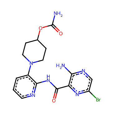 NC(=O)OC1CCN(c2cccnc2NC(=O)c2nc(Br)cnc2N)CC1